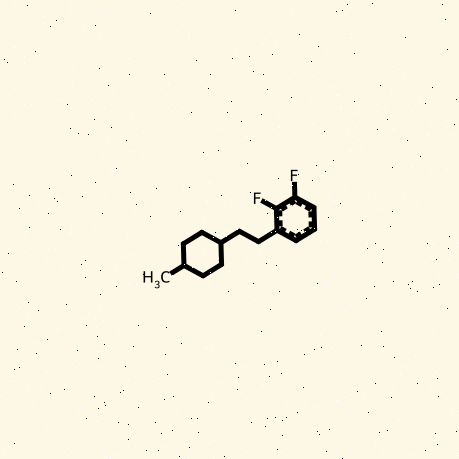 CC1CCC(CCc2cccc(F)c2F)CC1